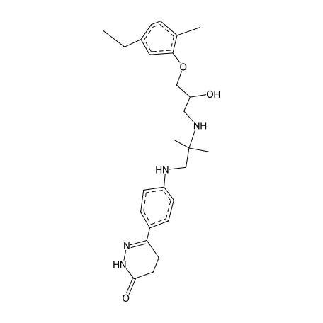 CCc1ccc(C)c(OCC(O)CNC(C)(C)CNc2ccc(C3=NNC(=O)CC3)cc2)c1